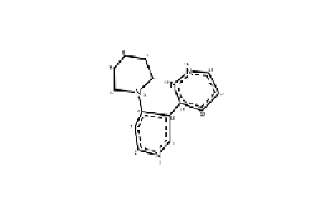 [c]1nccc(N2CCCCC2)c1-c1cccnn1